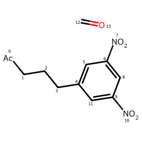 CC(=O)CCCc1cc([N+](=O)[O-])cc([N+](=O)[O-])c1.[CH]=O